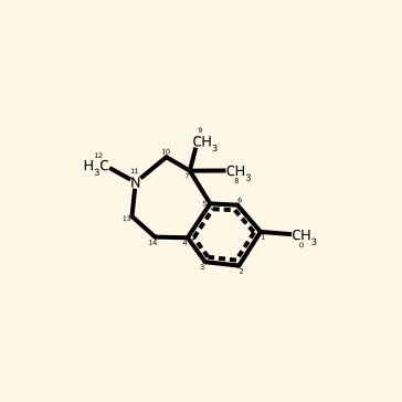 Cc1ccc2c(c1)C(C)(C)CN(C)CC2